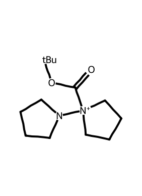 CC(C)(C)OC(=O)[N+]1(N2CCCC2)CCCC1